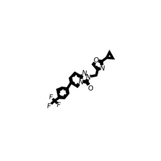 O=c1n(Cc2coc(C3CC3)n2)nc2ccc(-c3ccc(C(F)(F)F)cc3)cn12